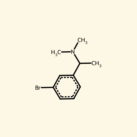 CC(c1cccc(Br)c1)N(C)C